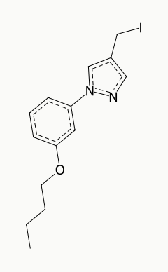 CCCCOc1cccc(-n2cc(CI)cn2)c1